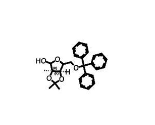 CC1(C)O[C@@H]2C(COC(c3ccccc3)(c3ccccc3)c3ccccc3)OC(O)[C@]2(C)O1